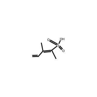 C=C/C(C)=C(\C)S(=O)(=O)O